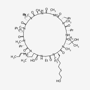 C/C=C/C[C@@H](C)[C@@H](O)[C@H]1C(=O)N[C@@H](CC)C(=O)N(C)[C@H](CSCCSCCO)C(=O)N(C)[C@@H](CC(C)(C)O)C(=O)N[C@@H](C(C)C)C(=O)N(C)[C@@H](CC(C)C)C(=O)N[C@@H](C)C(=O)N[C@H](C)C(=O)N(C)[C@@H](CC(C)C)C(=O)N(C)[C@@H](CC(C)C)C(=O)N(C)[C@@H](C(C)C)C(=O)N1C